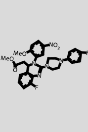 COC(=O)CC1c2cccc(F)c2N=C(N2CCN(c3ccc(F)cc3)CC2)N1c1cc([N+](=O)[O-])ccc1OC